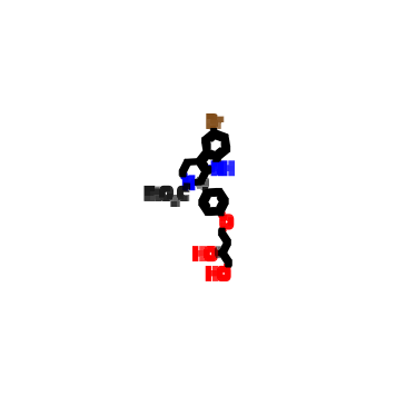 CCOC(=O)N1CCc2c([nH]c3ccc(Br)cc23)[C@@H]1c1ccc(OCC[C@H](O)CO)cc1